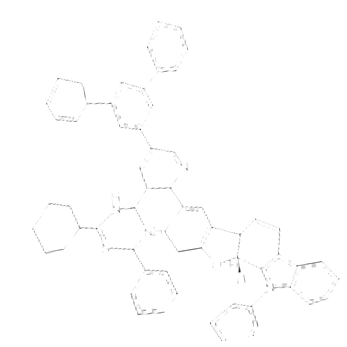 C1=CCC(c2cc(C3=CC(C4NC(C5CCCCC5)=NC(c5ccccc5)N4)C(C4=CC5=C(CC4)O[C@H]4c6c(c7ccccc7n6-c6ccccc6)C=CC54)N=C3)cc(-c3ccccc3)c2)C=C1